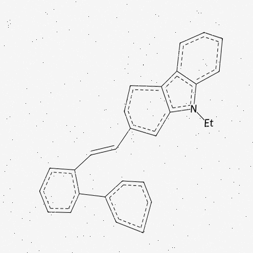 CCn1c2ccccc2c2ccc(C=Cc3ccccc3-c3ccccc3)cc21